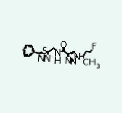 C[C@H](CCF)n1cc(C(=O)NCc2nnc(-c3ccccc3)s2)nn1